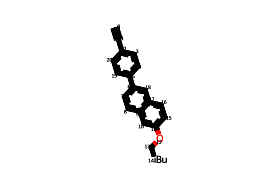 C#Cc1ccc(-c2ccc3cc(OCC(C)CC)ccc3c2)cc1